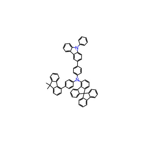 CC1(C)c2ccccc2-c2c(-c3ccc(N(c4ccc(-c5ccc6c(c5)c5ccccc5n6-c5ccccc5)cc4)c4cccc5c4-c4ccccc4C54c5ccccc5-c5ccccc54)cc3)cccc21